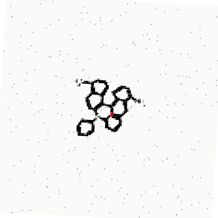 Nc1cccc2c(-c3c(P(c4ccccc4)c4ccccc4)ccc4c(N)cccc34)cccc12